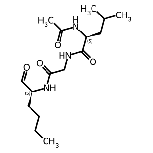 CCCC[C@@H](C=O)NC(=O)CNC(=O)[C@H](CC(C)C)NC(C)=O